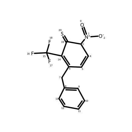 O=[N+]([O-])C1C=CC(Cc2ccccc2)=C(C(F)(F)F)C1=S